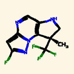 C[C@]1(C(F)(F)F)CNc2cnc3cc(F)nn3c21